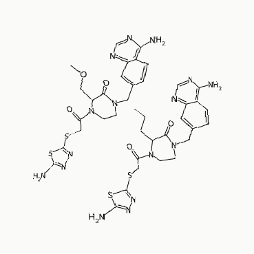 CCCC1C(=O)N(Cc2ccc3c(N)ncnc3c2)CCN1C(=O)CSc1nnc(N)s1.COCC1C(=O)N(Cc2ccc3c(N)ncnc3c2)CCN1C(=O)CSc1nnc(N)s1